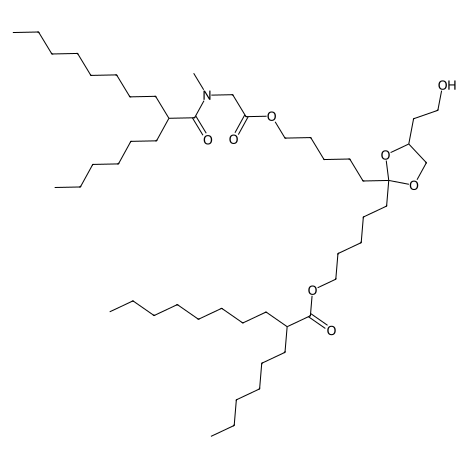 CCCCCCCCC(CCCCCC)C(=O)OCCCCCC1(CCCCCOC(=O)CN(C)C(=O)C(CCCCCC)CCCCCCCC)OCC(CCO)O1